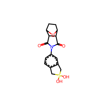 O=C1C2C3CCC(O3)C2C(=O)N1c1ccc2c(c1)CS(O)(O)C2